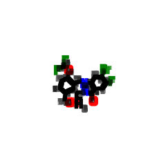 Cn1c(=O)c2cc(F)c(Br)cc2n1Cc1cc(CO)ccc1OC(F)F